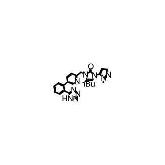 CCCCc1cn(-c2ccnn2C)c(=O)n1Cc1ccc(-c2ccccc2-c2nnn[nH]2)cn1